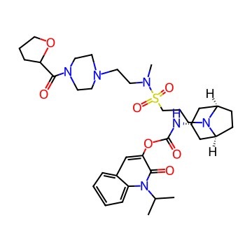 CC(C)n1c(=O)c(OC(=O)N[C@@H]2C[C@H]3CC[C@@H](C2)N3CCCS(=O)(=O)N(C)CCN2CCN(C(=O)C3CCCO3)CC2)cc2ccccc21